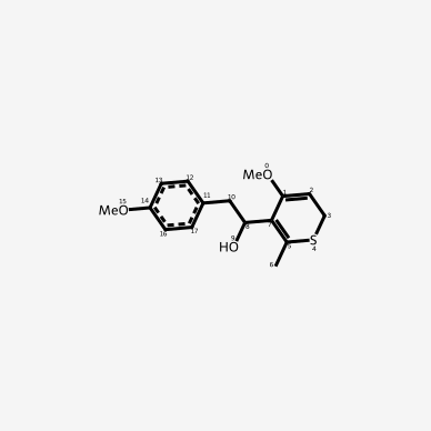 COC1=CCSC(C)=C1C(O)Cc1ccc(OC)cc1